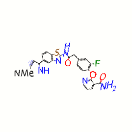 CN/C=C\C(=N)c1ccc2sc(NC(=O)Cc3ccc(Oc4ncccc4C(N)=O)c(F)c3)nc2c1